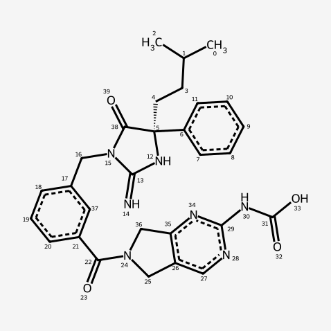 CC(C)CC[C@]1(c2ccccc2)NC(=N)N(Cc2cccc(C(=O)N3Cc4cnc(NC(=O)O)nc4C3)c2)C1=O